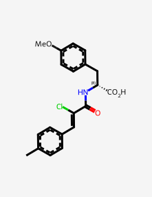 COc1ccc(C[C@@H](NC(=O)C(Cl)=Cc2ccc(C)cc2)C(=O)O)cc1